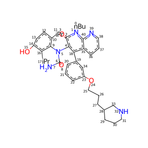 CCCCn1c(=O)c(N(C(N)=O)c2c(C(C)C)ccc(O)c2C(C)C)c(-c2cccc(OCCCC3CCCNC3)c2)c2cccnc21